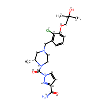 C[C@@H]1CN(Cc2cccc(OCC(C)(C)O)c2Cl)CCN1C(=O)n1ccc(C(N)=O)n1